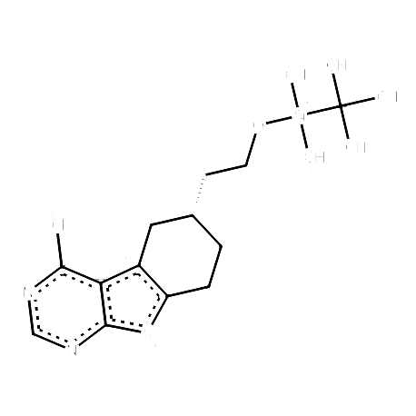 CC(C)(C)[Si](C)(C)OCC[C@@H]1CCc2sc3ncnc(Cl)c3c2C1